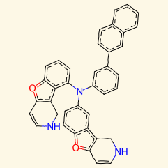 C1=Cc2oc3ccc(N(c4cccc(-c5ccc6ccccc6c5)c4)c4cccc5oc6c(c45)CNC=C6)cc3c2CN1